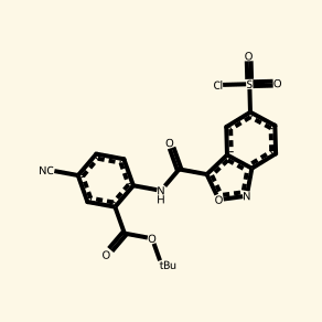 CC(C)(C)OC(=O)c1cc(C#N)ccc1NC(=O)c1onc2ccc(S(=O)(=O)Cl)cc12